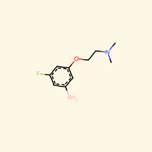 Bc1cc(F)cc(OCCN(C)C)c1